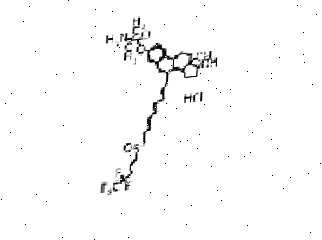 CC(C)(N)C(=O)Oc1ccc2c(c1)CC(CCCCCCCCC[S+]([O-])CCCC(F)(F)C(F)(F)F)C1C2CCC2(C)C(O)CCC12.Cl